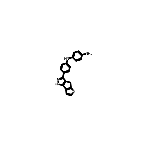 Nc1ccc(Nc2ccc(-c3n[nH]c4c3Cc3sccc3-4)cc2)cc1